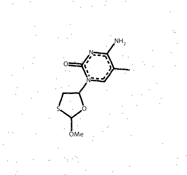 COC1OC(n2cc(C)c(N)nc2=O)CS1